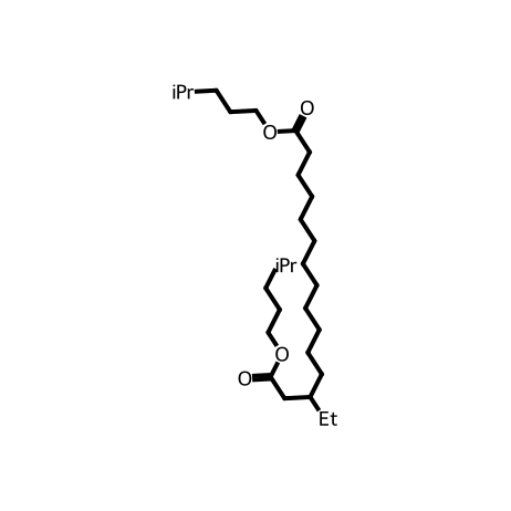 CCC(CCCCCCCCCCCC(=O)OCCCC(C)C)CC(=O)OCCCC(C)C